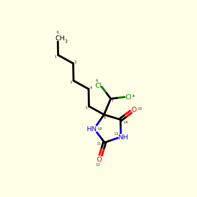 CCCCCCC1(C(Cl)Cl)NC(=O)NC1=O